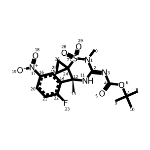 CN1/C(=N/C(=O)OC(C)(C)C)N[C@](C)(c2cc([N+](=O)[O-])ccc2F)C2(CC2)S1(=O)=O